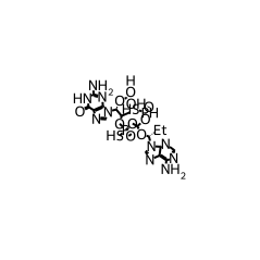 CC[C@@H](OC(O[PH](=O)S)OP(=O)(S)OC(C)[C@@H](OC(O)O)n1cnc2c(=O)[nH]c(N)nc21)n1cnc2c(N)ncnc21